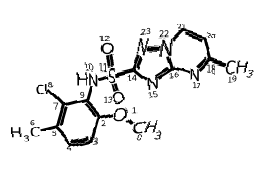 COc1ccc(C)c(Cl)c1NS(=O)(=O)c1nc2nc(C)ccn2n1